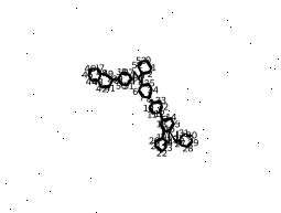 c1ccc(N(c2ccc(-c3ccc(-c4ccc5c(c4)c4ccccc4n5-c4ccccc4)cc3)cc2)c2ccc(-c3ccc4ccccc4c3)cc2)cc1